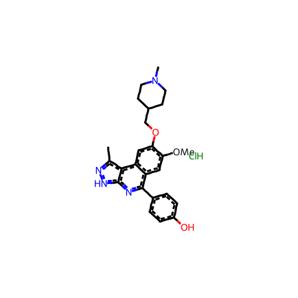 COc1cc2c(-c3ccc(O)cc3)nc3[nH]nc(C)c3c2cc1OCC1CCN(C)CC1.Cl